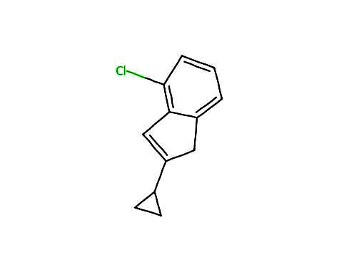 Clc1cccc2c1C=C(C1CC1)C2